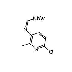 CN/C=N\c1ccc(Cl)nc1C